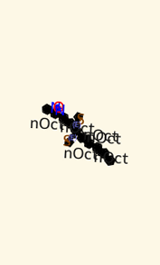 CCCCCCCCC1(CCCCCCCC)c2cc(-c3ccccc3)ccc2-c2ccc(-c3ccc4c(c3)C(CCCCCCCC)(CCCCCCCC)c3cc(-c5cc(/C=C/c6cccs6)c(-c6ccc7c(c6)C(CCCCCCCC)(CCCCCCCC)c6cc(-c8ccc(-c9ccccc9)c9nonc89)ccc6-7)cc5/C=C/c5cccs5)ccc3-4)cc21